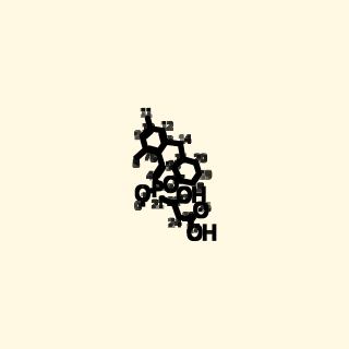 COP(=O)(C=Cc1c(C)cc(C)cc1CC1CCCCC1)CC(O)CC(=O)O